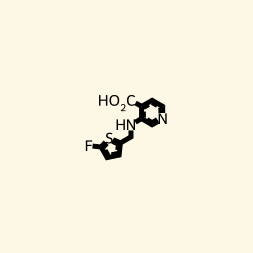 O=C(O)c1ccncc1NCc1ccc(F)s1